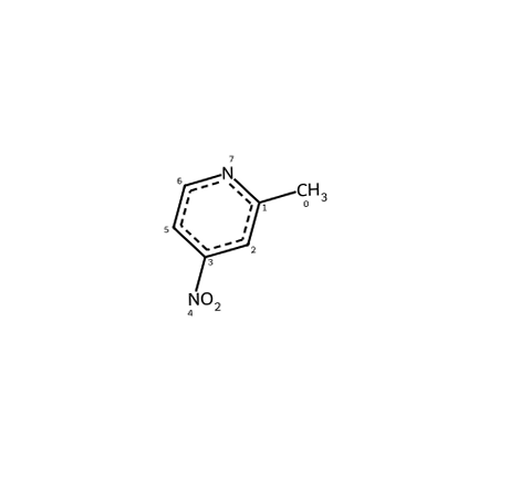 Cc1cc([N+](=O)[O-])ccn1